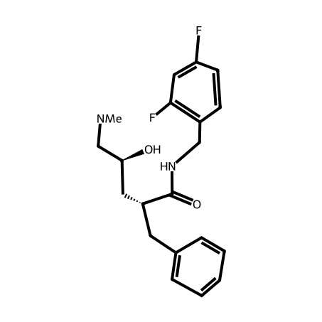 CNC[C@@H](O)C[C@@H](Cc1ccccc1)C(=O)NCc1ccc(F)cc1F